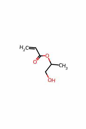 C=CC(=O)OC(C)CO